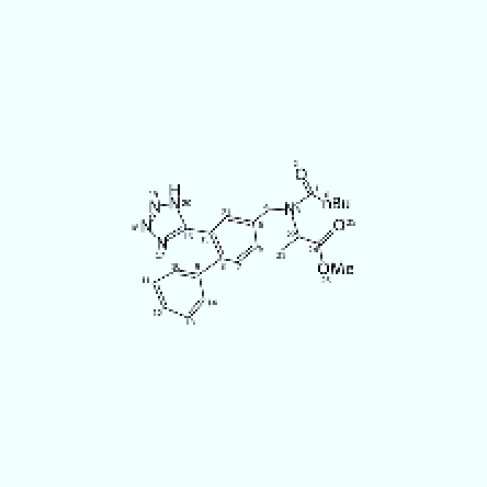 CCCCC(=O)N(Cc1ccc(-c2ccccc2)c(-c2nnn[nH]2)c1)C(C)C(=O)OC